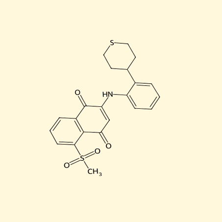 CS(=O)(=O)c1cccc2c1C(=O)C=C(Nc1ccccc1C1CCSCC1)C2=O